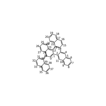 [c]1c(-c2ccc3ccccc3c2)c(-c2cccc3ccccc23)c2ccccc2c1-c1cccc2ccccc12